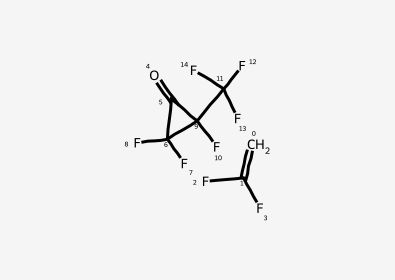 C=C(F)F.O=C1C(F)(F)C1(F)C(F)(F)F